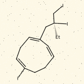 CC[C@@](I)(CI)CC1=C/C/C=C(/I)CC/C=C\1